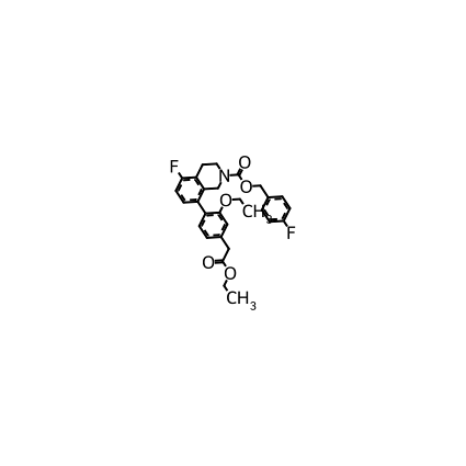 CCOC(=O)Cc1ccc(-c2ccc(F)c3c2CN(C(=O)OCc2ccc(F)cc2)CC3)c(OCC)c1